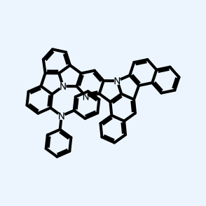 c1ccc(N(c2ccccc2)c2cccc3c4cccc5c6cc7c(nc6n(c23)c54)c2c3ccccc3cc3c4c5ccccc5ccc4n7c32)cc1